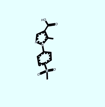 Cc1c(C(=O)O)cnn1-c1ccc(S(C)(=O)=O)cc1